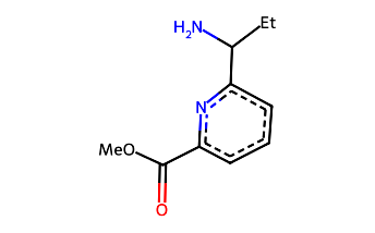 CCC(N)c1cccc(C(=O)OC)n1